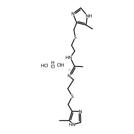 C/C(=N\CCSCc1nc[nH]c1C)NCCSCc1nc[nH]c1C.Cl.Cl.Cl